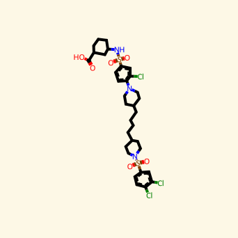 O=C(O)C1CCCC(NS(=O)(=O)c2ccc(N3CCC(CCCCC4CCN(S(=O)(=O)c5ccc(Cl)c(Cl)c5)CC4)CC3)c(Cl)c2)C1